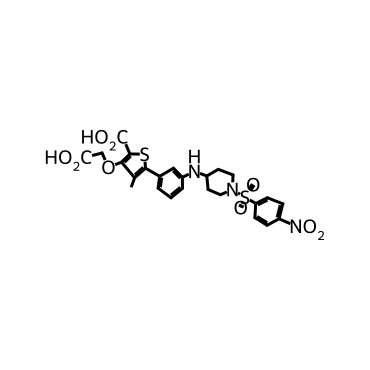 Cc1c(-c2cccc(NC3CCN(S(=O)(=O)c4ccc([N+](=O)[O-])cc4)CC3)c2)sc(C(=O)O)c1OCC(=O)O